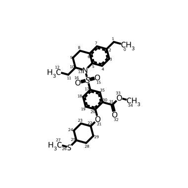 CCc1ccc2c(c1)CCC(CC)N2S(=O)(=O)c1ccc(OC2CCC(SC)CC2)c(C(=O)OC)c1